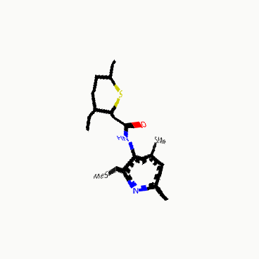 CSc1cc(C)nc(SC)c1NC(=O)C1SC(C)CCC1C